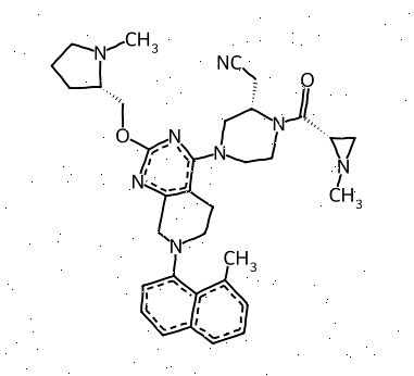 Cc1cccc2cccc(N3CCc4c(nc(OC[C@@H]5CCCN5C)nc4N4CCN(C(=O)[C@@H]5CN5C)[C@@H](CC#N)C4)C3)c12